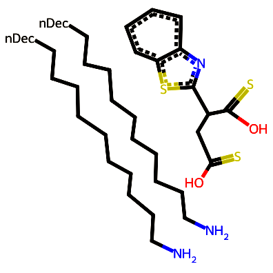 CCCCCCCCCCCCCCCCCCCCN.CCCCCCCCCCCCCCCCCCCCN.OC(=S)CC(C(O)=S)c1nc2ccccc2s1